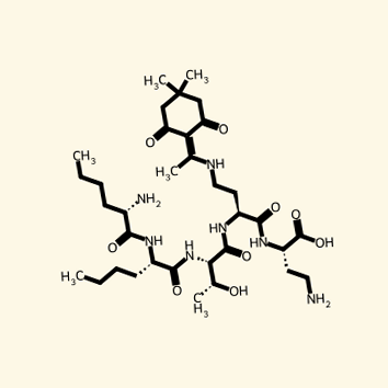 CCCC[C@H](NC(=O)[C@@H](N)CCCC)C(=O)N[C@H](C(=O)N[C@@H](CCNC(C)=C1C(=O)CC(C)(C)CC1=O)C(=O)N[C@@H](CCN)C(=O)O)[C@@H](C)O